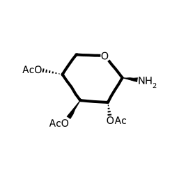 CC(=O)O[C@@H]1[C@@H](OC(C)=O)[C@H](OC(C)=O)CO[C@H]1N